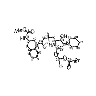 COC(=O)NC1Cc2ccccc2N(C(=O)CC(C)(C)C[C@H](NC(=O)OC(C)OC(=O)C(C)C)[C@@H](O)CN2CCCCC2)C1